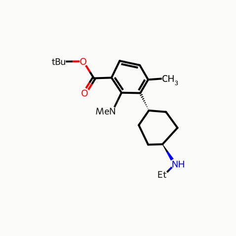 CCN[C@H]1CC[C@H](c2c(C)ccc(C(=O)OC(C)(C)C)c2NC)CC1